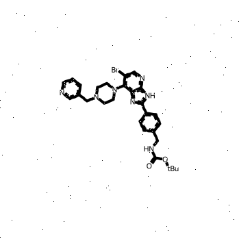 CC(C)(C)OC(=O)NCc1ccc(-c2nc3c(N4CCN(Cc5cccnc5)CC4)c(Br)cnc3[nH]2)cc1